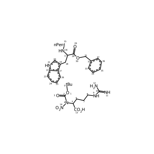 CC(C)(C)OC(=O)N(C(CCCNC(=N)N)C(=O)O)[N+](=O)[O-].CCCCCNC(Cc1c[nH]c2ccccc12)C(=O)OCc1ccccc1